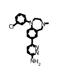 CN1CCN(c2cccc(Cl)c2)c2ccc(-c3ccc(N)nn3)cc2C1